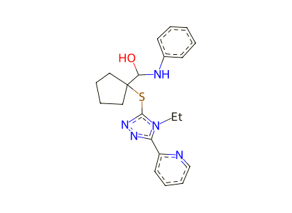 CCn1c(SC2(C(O)Nc3ccccc3)CCCC2)nnc1-c1ccccn1